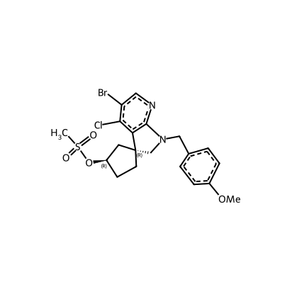 COc1ccc(CN2C[C@@]3(CC[C@@H](OS(C)(=O)=O)C3)c3c2ncc(Br)c3Cl)cc1